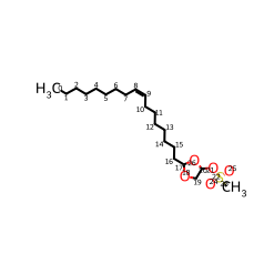 CCCCCCCC/C=C\CCCCCCCC1OCC(OS(C)(=O)=O)O1